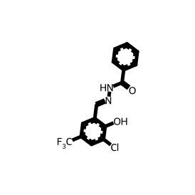 O=C(N/N=C/c1cc(C(F)(F)F)cc(Cl)c1O)c1ccccc1